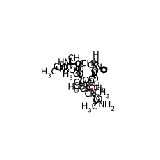 C=C1NC2(CCN(CC(C)C)CC2)N=C1C1=C2C(=O)[C@@](C)(O/C=C/[C@H](OC)[C@@H](C)[C@@H](OC(=O)CC(=O)N3CCC4(CC3)C(=O)NCN4c3ccccc3)[C@H](C)[C@H](O)[C@H](C)[C@@H](O)[C@@H](C)/C=C/C=C(/C)C(N)=O)OC2=C(C)CC1